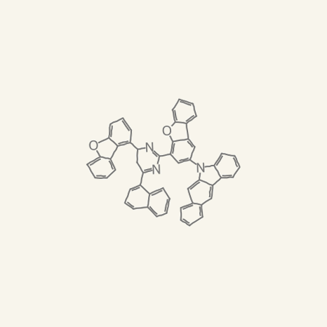 c1ccc2cc3c(cc2c1)c1ccccc1n3-c1cc(C2=NC(c3cccc4oc5ccccc5c34)CC(c3cccc4ccccc34)=N2)c2oc3ccccc3c2c1